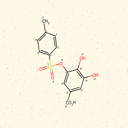 Cc1ccc(S(=O)(=O)Oc2cc(C(=O)O)cc(O)c2O)cc1